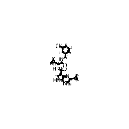 O=C(N[C@@H](C(=O)NCc1cccc(Cl)c1)C1CC1)c1c[nH]c2ncc(C3CC3)nc12